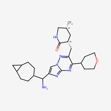 NC(c1cn2nc(C[C@H]3C[C@@H](C(F)(F)F)CNC3=O)c(C3CCOCC3)nc2n1)C1CCC2CC2CC1